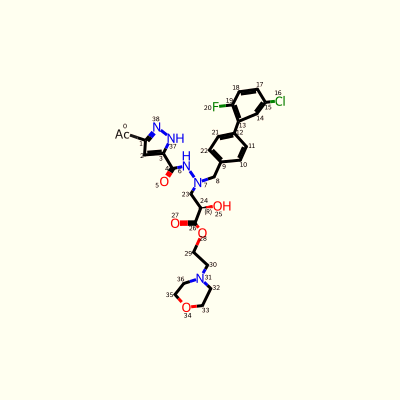 CC(=O)c1cc(C(=O)NN(Cc2ccc(-c3cc(Cl)ccc3F)cc2)C[C@@H](O)C(=O)OCCN2CCOCC2)[nH]n1